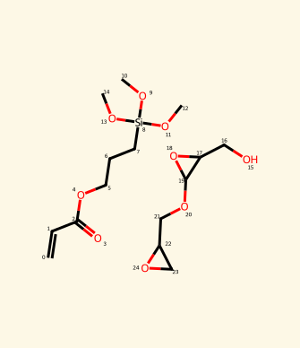 C=CC(=O)OCCC[Si](OC)(OC)OC.OCC1OC1OCC1CO1